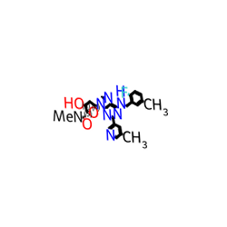 CNC(=O)[C@H]1O[C@@H](n2cnc3c(NCc4cc(C)ccc4F)nc(-c4cncc(C)c4)nc32)C[C@@H]1O